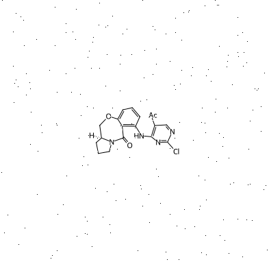 CC(=O)c1cnc(Cl)nc1Nc1cccc2c1C(=O)N1CCC[C@H]1CO2